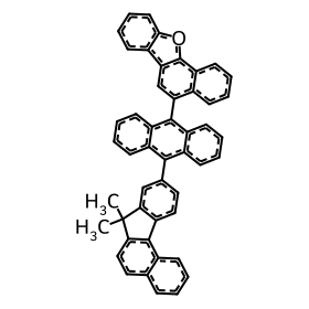 CC1(C)c2cc(-c3c4ccccc4c(-c4cc5c6ccccc6oc5c5ccccc45)c4ccccc34)ccc2-c2c1ccc1ccccc21